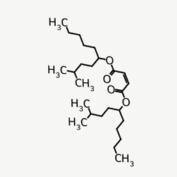 CCCCCC(CCC(C)C)OC(=O)/C=C\C(=O)OC(CCCCC)CCC(C)C